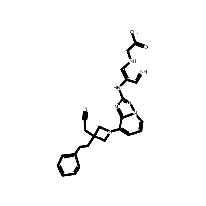 CC(=O)CN/C=C(\C=N)Nc1nc2c(N3CC(CC#N)(CCc4ccccc4)C3)cccn2n1